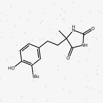 CC1(CCc2ccc(O)c(C(C)(C)C)c2)NC(=O)NC1=O